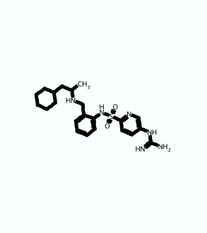 CC(CC1CCCCC1)NCc1ccccc1NS(=O)(=O)c1ccc(NC(=N)N)cn1